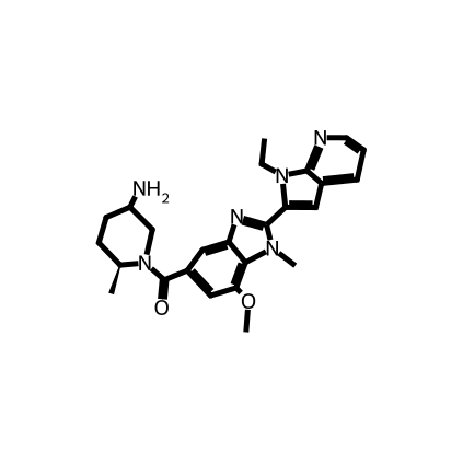 CCn1c(-c2nc3cc(C(=O)N4CC(N)CC[C@@H]4C)cc(OC)c3n2C)cc2cccnc21